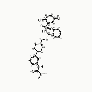 CC(C)C(=O)Nc1cccc(C2CCN(CC[C@H](NS(=O)(=O)c3cc(Cl)ccc3Cl)c3ccccc3)CC2)c1